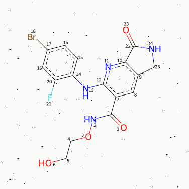 O=C(NOCCO)c1cc2c(nc1Nc1ccc(Br)cc1F)C(=O)NC2